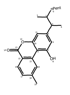 CCCCCC(C)C(C)c1cc(O)c2c(c1)oc(=O)c1ccc(C)cc12